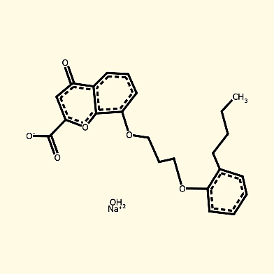 CCCCc1ccccc1OCCCOc1cccc2c(=O)cc(C(=O)[O-])oc12.O.[Na+]